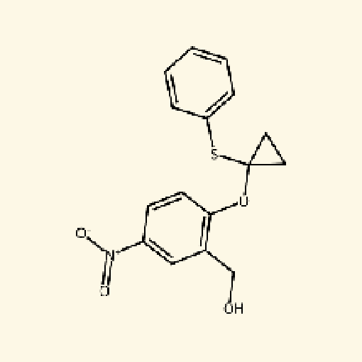 O=[N+]([O-])c1ccc(OC2(Sc3ccccc3)CC2)c(CO)c1